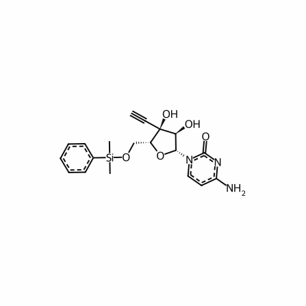 C#C[C@@]1(O)[C@@H](CO[Si](C)(C)c2ccccc2)O[C@@H](n2ccc(N)nc2=O)[C@@H]1O